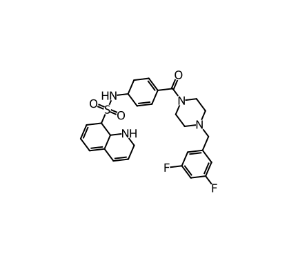 O=C(C1=CCC(NS(=O)(=O)C2C=CC=C3C=CCNC32)C=C1)N1CCN(Cc2cc(F)cc(F)c2)CC1